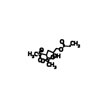 C=CC(=O)OCC(O)CC(S(C)(=O)=O)S(C)(=O)=O